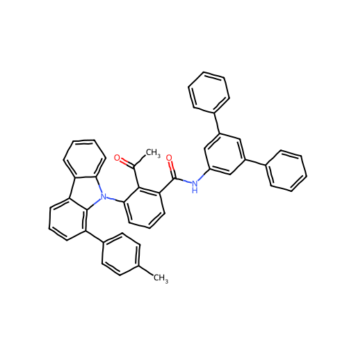 CC(=O)c1c(C(=O)Nc2cc(-c3ccccc3)cc(-c3ccccc3)c2)cccc1-n1c2ccccc2c2cccc(-c3ccc(C)cc3)c21